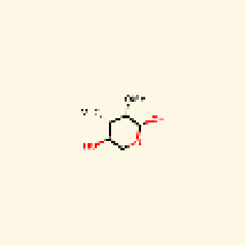 CO[C@@H]1[C@@H](OC)[C@@H](O)OC[C@H]1O